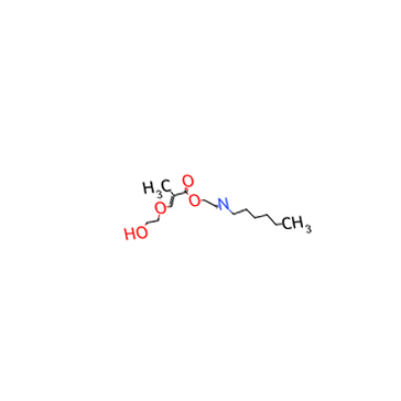 CCCCCCN=CCOC(=O)C(C)=COCCO